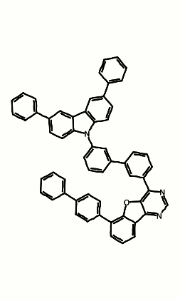 c1ccc(-c2ccc(-c3cccc4c3oc3c(-c5cccc(-c6cccc(-n7c8ccc(-c9ccccc9)cc8c8cc(-c9ccccc9)ccc87)c6)c5)ncnc34)cc2)cc1